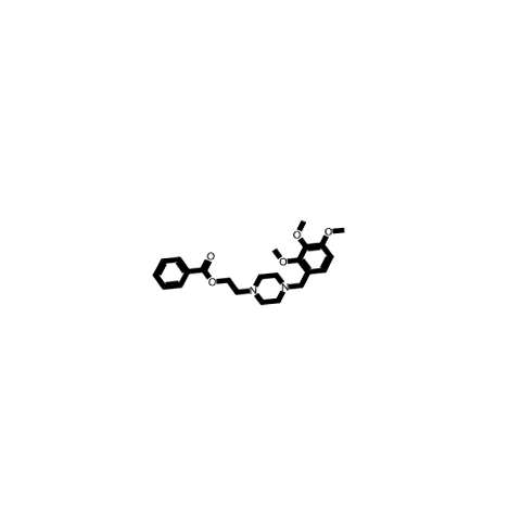 COc1ccc(CN2CCN(CCOC(=O)c3ccccc3)CC2)c(OC)c1OC